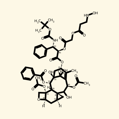 CC(=O)O[C@@H]1C2=C(C)[C@@H](OC(=O)[C@H](OC(=O)COC(=O)CCNO)[C@@H](NC(=O)OC(C)(C)C)c3ccccc3)C[C@@](O)([C@@H](OC(=O)c3ccccc3)[C@@H]3[C@]4(OC(C)=O)CO[C@@H]4C[C@@H]4C[C@@]43C1O)C2(C)C